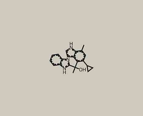 Cc1cc(C2CC2)c(C(C)(O)c2nc3ccccc3[nH]2)c2cc[nH]c12